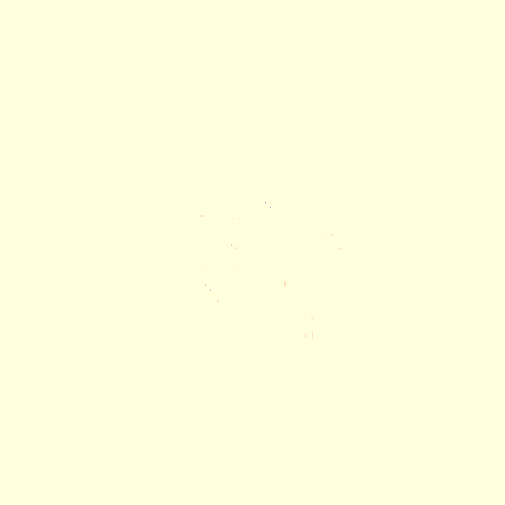 O=C(NC(CCN1CCOCC1)(Cc1cc(=O)[nH]c2ccccc12)C(=O)O)c1ccc(Cl)cc1.O=S(=O)(O)c1cccc2c(S(=O)(=O)O)cccc12